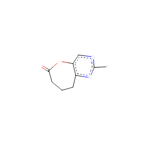 CCc1ncc2c(n1)CCCC(=O)O2